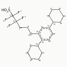 O=S(=O)(O)C(F)(F)C(F)(F)CCOc1cc(C2CCCCC2)ccc1C1CCCCC1